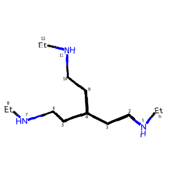 CCNCCC(CCNCC)CCNCC